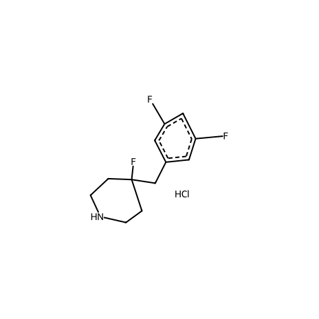 Cl.Fc1cc(F)cc(CC2(F)CCNCC2)c1